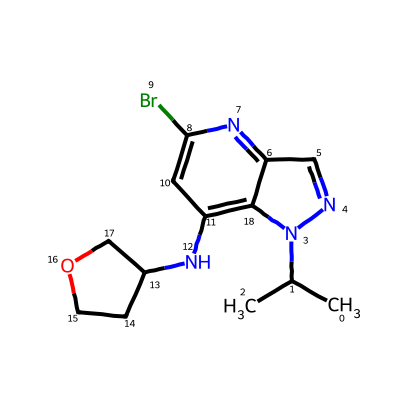 CC(C)n1ncc2nc(Br)cc(NC3CCOC3)c21